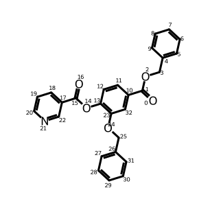 O=C(OCc1ccccc1)c1ccc(OC(=O)c2cccnc2)c(OCc2ccccc2)c1